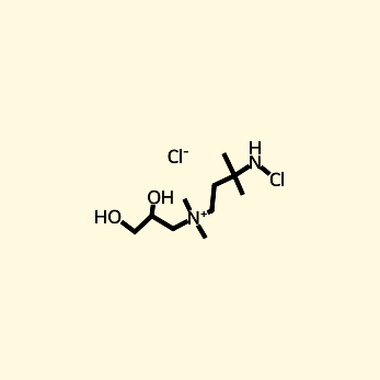 CC(C)(CC[N+](C)(C)CC(O)CO)NCl.[Cl-]